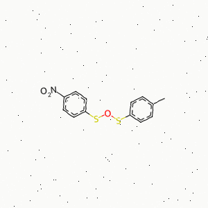 Cc1ccc(SOSc2ccc([N+](=O)[O-])cc2)cc1